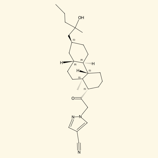 CCCC(C)(O)C[C@H]1CC[C@@H]2[C@H](CC[C@]3(C)[C@@H](C(=O)Cn4cc(C#N)cn4)CCC[C@@H]23)C1